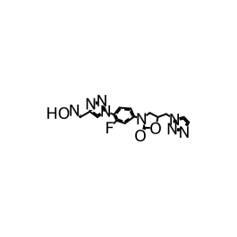 O=C1OC(Cn2ccnn2)CN1c1ccc(-n2cc(C=NO)nn2)c(F)c1